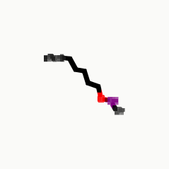 CCCCCCCCCCOPC(C)C